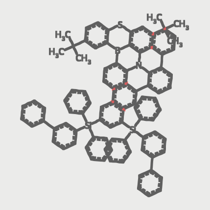 CC(C)(C)c1ccc2c(c1)B1c3ccc(-c4cc([Si](c5ccccc5)(c5ccccc5)c5cccc(-c6ccccc6)c5)cc([Si](c5ccccc5)(c5ccccc5)c5cccc(-c6ccccc6)c5)c4)cc3N(c3c(-c4ccccc4)cccc3-c3ccccc3)c3cc(C(C)(C)C)cc(c31)S2